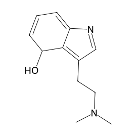 CN(C)CCC1=C2C(=CC=CC2O)N=C1